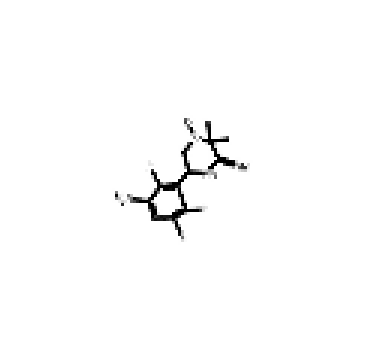 CC1(C)C(=N)NC(c2c(F)c(N)cc(F)c2F)C[S+]1[O-]